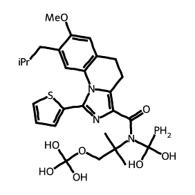 COc1cc2c(cc1CC(C)C)-n1c(-c3cccs3)nc(C(=O)N(C(O)(O)P)C(C)(C)COC(O)(O)O)c1CC2